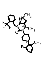 Cc1cccc(F)c1N1CCC(N2C(=O)N(Cc3ccccc3C(F)(F)F)c3nn(C)cc3[C@H]2C)CC1